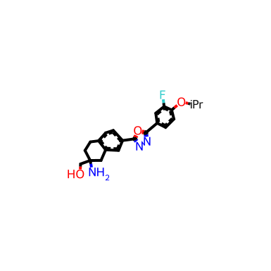 CC(C)Oc1ccc(-c2nnc(-c3ccc4c(c3)CC(N)(CO)CC4)o2)cc1F